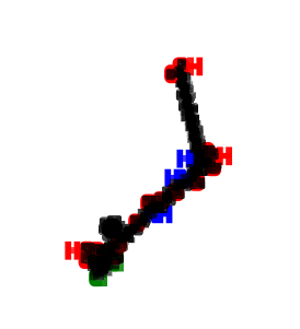 O=C(O)CCCCCCCCCCCCCCC(=O)N[C@@H](CCC(=O)NCCOCCOCC(=O)NCCOCCCC(OCC(=O)Oc1c(Cl)cc(Cl)cc1S(=O)(=O)O)c1ccccc1)C(=O)O